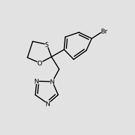 Brc1ccc(C2(Cn3cncn3)OCCS2)cc1